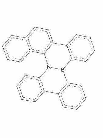 c1ccc2c(c1)B1c3ccccc3-c3ccc4ccccc4c3N1c1ccccc1-2